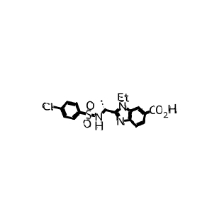 CCn1c([C@@H](C)NS(=O)(=O)c2ccc(Cl)cc2)nc2ccc(C(=O)O)cc21